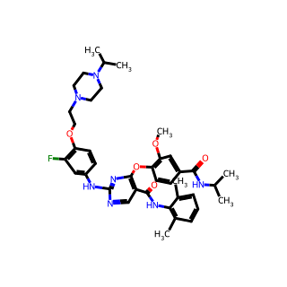 COc1cc(C(=O)NC(C)C)ccc1Oc1nc(Nc2ccc(OCCN3CCN(C(C)C)CC3)c(F)c2)ncc1C(=O)Nc1c(C)cccc1C